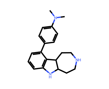 CN(C)c1ccc(-c2cccc3c2C2CCNCCC2N3)cc1